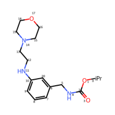 CC(C)OC(=O)NCc1cccc(NCCN2CCOCC2)c1